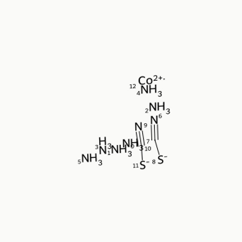 N.N.N.N.N.N.N#C[S-].N#C[S-].[Co+2]